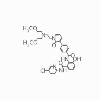 COCCN(CCOC)CCn1cccc(-c2ccc(C(=O)Nc3c(O)cccc3C(=O)Nc3ccc(Cl)cn3)cc2)c1=O